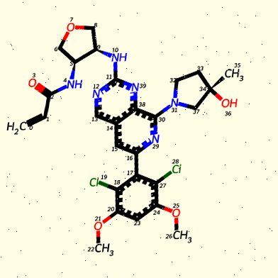 C=CC(=O)N[C@H]1COC[C@H]1Nc1ncc2cc(-c3c(Cl)c(OC)cc(OC)c3Cl)nc(N3CC[C@](C)(O)C3)c2n1